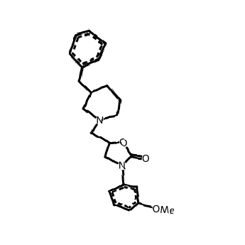 COc1cccc(N2CC(CN3CCCC(Cc4ccccc4)C3)OC2=O)c1